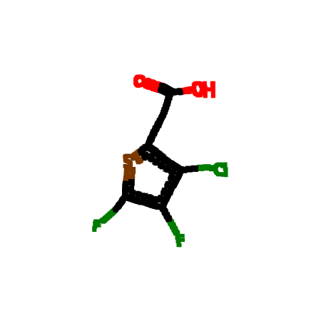 O=C(O)c1sc(F)c(F)c1Cl